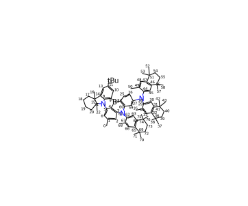 Cc1cc2c3c(c1)N1c4c(cc(C(C)(C)C)cc4C4(C)CCCCC14C)B3c1ccc(N(c3cc4c(cc3C)C(C)(C)CCC4(C)C)c3cc4c(cc3C)C(C)(C)CCC4(C)C)cc1N2c1cc2c(cc1C)C(C)(C)CCC2(C)C